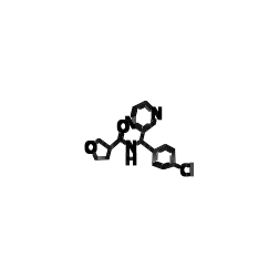 O=C(NC(c1ccc(Cl)cc1)c1cnccn1)C1CCOC1